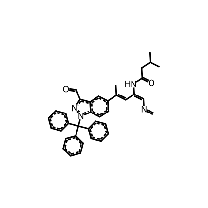 C=N/C=C(\C=C(/C)c1ccc2c(c1)c(C=O)nn2C(c1ccccc1)(c1ccccc1)c1ccccc1)NC(=O)CC(C)C